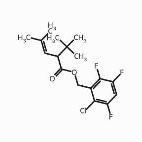 CC(C)=CC(C(=O)OCc1c(F)c(F)cc(F)c1Cl)C(C)(C)C